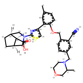 Cc1ccc(OCc2ccc(CN3CCOCC3C)cc2C#N)c(-c2csc(N3C[C@H]4CC[C@@H](C3)[C@H]4C(=O)O)n2)c1